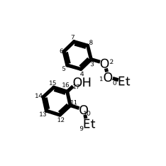 CCOOc1ccccc1.CCOc1ccccc1O